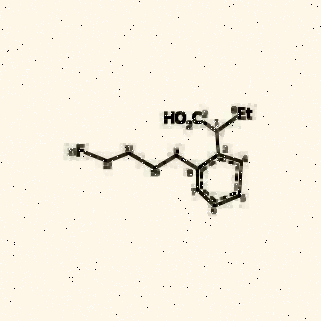 CCC(C(=O)O)c1ccccc1CCCCF